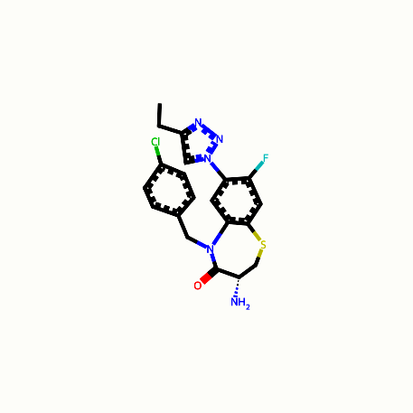 CCc1cn(-c2cc3c(cc2F)SC[C@H](N)C(=O)N3Cc2ccc(Cl)cc2)nn1